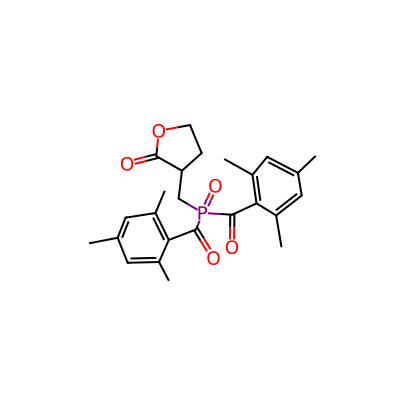 Cc1cc(C)c(C(=O)P(=O)(CC2CCOC2=O)C(=O)c2c(C)cc(C)cc2C)c(C)c1